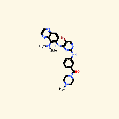 CSN(C)c1c(Nc2nc(Nc3cccc(C(=O)N4CCN(C)CC4)c3)ncc2Br)ccc2nccnc12